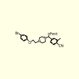 CCCCCC(c1ccc(C#N)c(C)c1)N1CCN(CCOc2ccc(Br)cc2)CC1